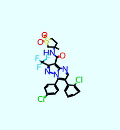 CC1(NC(=O)c2c(C(F)(F)F)nn3c(-c4ccc(Cl)cc4)c(-c4ccccc4Cl)cnc23)CCS(=O)(=O)C1